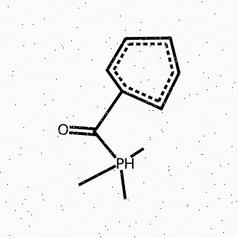 C[PH](C)(C)C(=O)c1ccccc1